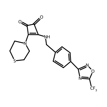 O=c1c(NCc2ccc(-c3noc(C(F)(F)F)n3)cc2)c(N2CCSCC2)c1=O